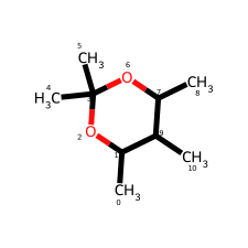 CC1OC(C)(C)OC(C)C1C